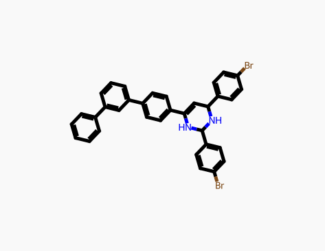 Brc1ccc(C2C=C(c3ccc(-c4cccc(-c5ccccc5)c4)cc3)NC(c3ccc(Br)cc3)N2)cc1